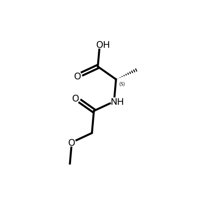 COCC(=O)N[C@@H](C)C(=O)O